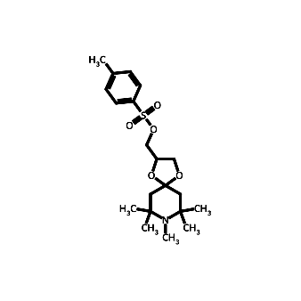 Cc1ccc(S(=O)(=O)OCC2COC3(CC(C)(C)N(C)C(C)(C)C3)O2)cc1